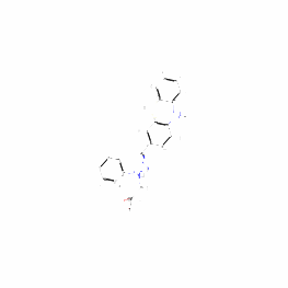 CCN1c2ccccc2Sc2cc(/C=N/N(CC3CO3)c3ccccc3)ccc21